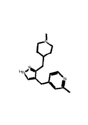 Cc1cc(Cc2c[nH]nc2CC2CCN(C)CC2)ccn1